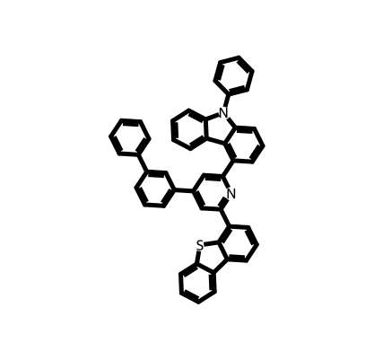 c1ccc(-c2cccc(-c3cc(-c4cccc5c4sc4ccccc45)nc(-c4cccc5c4c4ccccc4n5-c4ccccc4)c3)c2)cc1